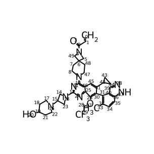 C=CC(=O)N1CC2(CCN(c3nc(N4CC(N5CCC(O)CC5)C4)nc4c(OCC(F)(F)F)c(-c5c(C)ccc6[nH]ncc56)c(C5CC5)cc34)CC2)C1